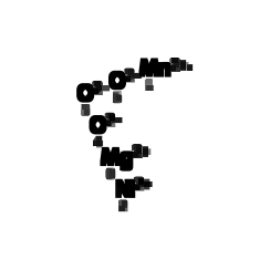 [Mg+2].[Mn+2].[Ni+2].[O-2].[O-2].[O-2]